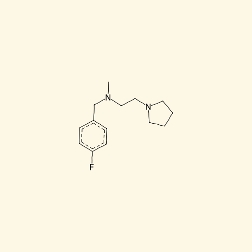 CN(CCN1CCCC1)Cc1ccc(F)cc1